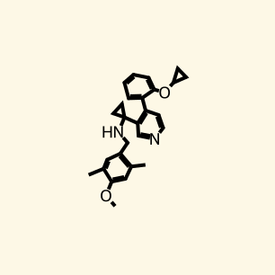 COc1cc(C)c(CNC2(c3cnccc3-c3ccccc3OC3CC3)CC2)cc1C